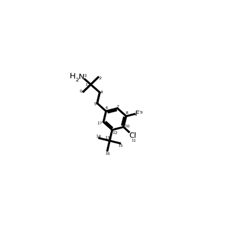 CC(C)(N)CCc1cc(F)c(Cl)c(C(C)(C)C)c1